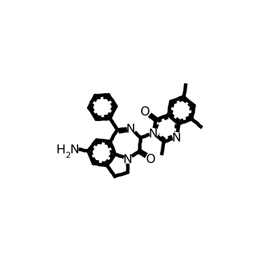 Cc1cc(C)c2nc(C)n(C3N=C(c4ccccc4)c4cc(N)cc5c4N(CC5)C3=O)c(=O)c2c1